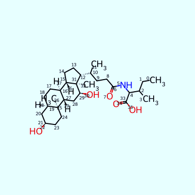 CCC(C)C(NC(=O)CCC(C)[C@H]1CC[C@H]2[C@@H]3CC[C@@H]4C[C@H](O)CC[C@]4(C)[C@H]3C[C@H](O)[C@]12C)C(=O)O